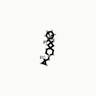 CCC1(CN2CCC3(CC2)CC(F)(CN2C4CC2CN(C(C)C)C4)C3)CC1